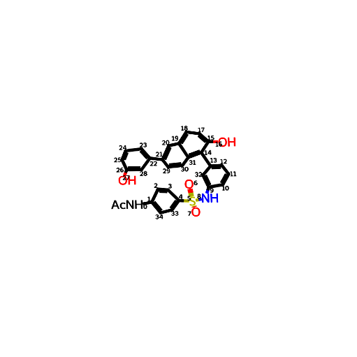 CC(=O)Nc1ccc(S(=O)(=O)Nc2cccc(-c3c(O)ccc4cc(-c5cccc(O)c5)ccc34)c2)cc1